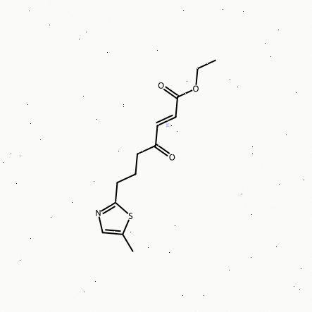 CCOC(=O)/C=C/C(=O)CCCc1ncc(C)s1